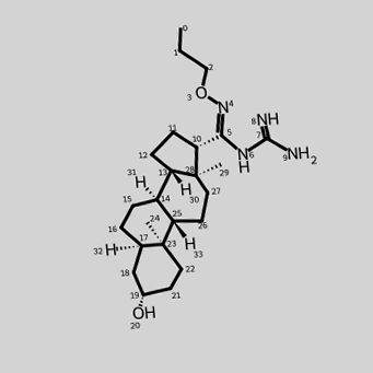 CCCO/N=C(/NC(=N)N)[C@H]1CC[C@H]2[C@@H]3CC[C@@H]4C[C@@H](O)CC[C@]4(C)[C@H]3CC[C@]12C